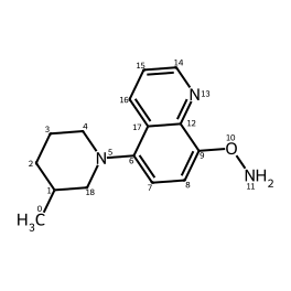 CC1CCCN(c2ccc(ON)c3ncccc23)C1